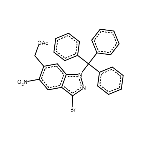 CC(=O)OCc1cc2c(cc1[N+](=O)[O-])c(Br)nn2C(c1ccccc1)(c1ccccc1)c1ccccc1